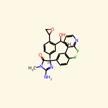 CC(O)c1cc([C@@]2(c3ccc(F)c(-c4cccnc4F)c3)N=C(N)N(C)C2=O)ccc1C1CO1